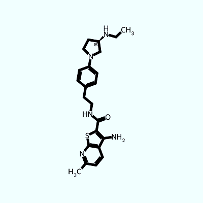 CCN[C@@H]1CCN(c2ccc(CCNC(=O)c3sc4nc(C)ccc4c3N)cc2)C1